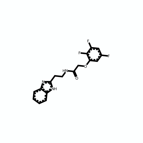 O=C(COc1cc(F)cc(F)c1F)NCCc1nc2ccccc2[nH]1